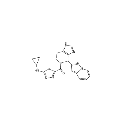 O=C(c1nnc(NC2CC2)o1)N1CCc2[nH]cnc2C1c1cc2ccccn2n1